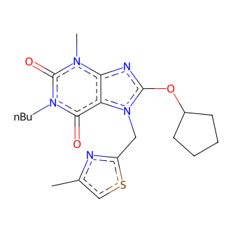 CCCCn1c(=O)c2c(nc(OC3CCCC3)n2Cc2nc(C)cs2)n(C)c1=O